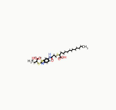 CCCCCCCCCCCCC(SCCC(=O)Nc1ccc2nc(SC(CC)C(=O)O)sc2c1)C(=O)O